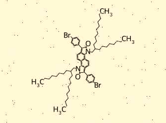 CCCCCCCCCCC(CCCCCCCC)CN1C(=O)C(c2ccc(Br)cc2)=c2ccc3c4c(ccc3c21)=C(c1ccc(Br)cc1)C(=O)N4CC(CCCCCCCC)CCCCCCCCCC